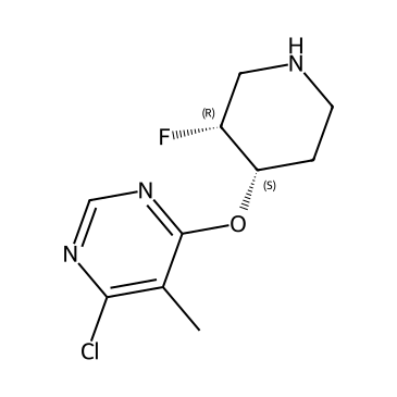 Cc1c(Cl)ncnc1O[C@H]1CCNC[C@H]1F